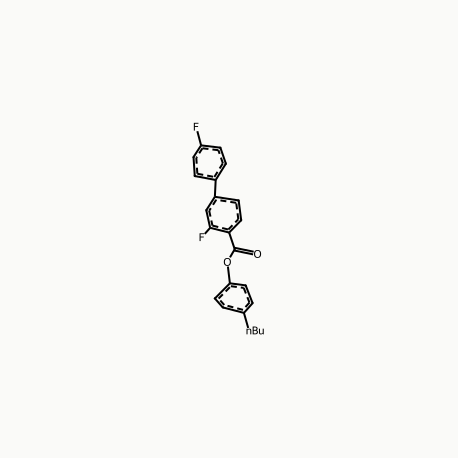 CCCCc1ccc(OC(=O)c2ccc(-c3ccc(F)cc3)cc2F)cc1